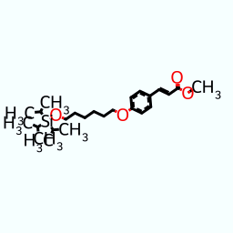 COC(=O)/C=C/c1ccc(OCCCCCCO[Si](C(C)C)(C(C)C)C(C)C)cc1